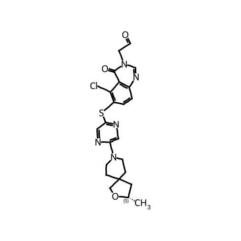 C[C@H]1CC2(CCN(c3cnc(Sc4ccc5ncn(CC=O)c(=O)c5c4Cl)cn3)CC2)CO1